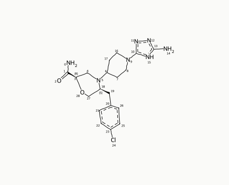 NC(=O)[C@H]1CN(C2CCN(c3nnc(N)[nH]3)CC2)[C@@H](Cc2ccc(Cl)cc2)CO1